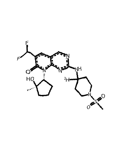 [2H]C1(Nc2ncc3cc(C(F)F)c(=O)n([C@@H]4CCC[C@@]4(C)O)c3n2)CCN(S(C)(=O)=O)CC1